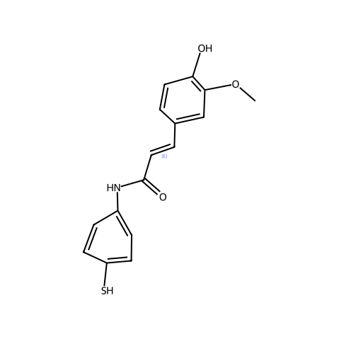 COc1cc(/C=C/C(=O)Nc2ccc(S)cc2)ccc1O